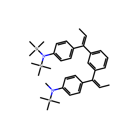 C/C=C(/c1ccc(N(C)[Si](C)(C)C)cc1)c1cccc(/C(=C/C)c2ccc(N([Si](C)(C)C)[Si](C)(C)C)cc2)c1